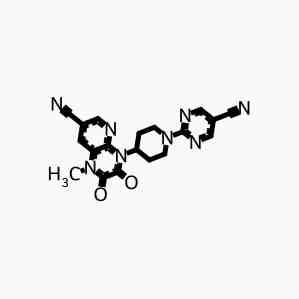 Cn1c(=O)c(=O)n(C2CCN(c3ncc(C#N)cn3)CC2)c2ncc(C#N)cc21